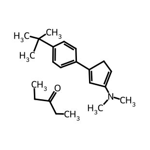 CCC(=O)CC.CN(C)C1=CCC(c2ccc(C(C)(C)C)cc2)=C1